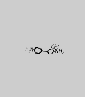 NC1=CC=C(c2ccc(N)cc2)CC1(Cl)Cl